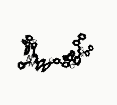 c1ccc(-c2cccc(-c3cc(-c4ccc5c(c4)C4(c6cc(-c7ccc8oc9c(-c%10ccc(-c%11cc(-c%12ccc%13c(c%12)C%12(c%14ccccc%14O%13)c%13ccccc%13-c%13ccccc%13%12)nc(-c%12ccccc%12)n%11)cc%10)cccc9c8c7)ccc6O5)c5ccccc5-c5ccccc54)nc(-c4cccc(-c5ccccc5)c4)n3)c2)cc1